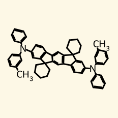 Cc1cccc(N(c2ccccc2)c2ccc3c(c2)C2(CCCCC2)c2cc4c(cc2-3)C2(CCCCC2)c2cc(N(c3ccccc3)c3cccc(C)c3)ccc2-4)c1